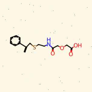 C=C(CSCCNC(=O)COCC(=O)O)c1ccccc1